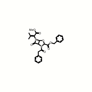 COC(=O)C(=C(C)C)N1C(=O)C2C1OC(C(=O)OCc1ccccc1)N2C(=O)Cc1ccccc1